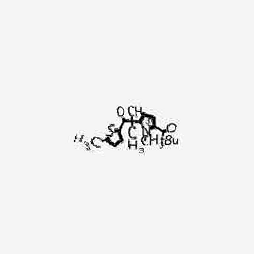 Cc1ccc(C(=O)C(C)(C)c2ccc(C(=O)C(C)(C)C)n2C)s1